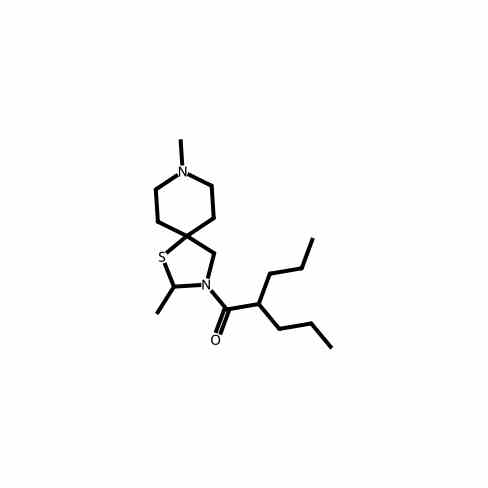 CCCC(CCC)C(=O)N1CC2(CCN(C)CC2)SC1C